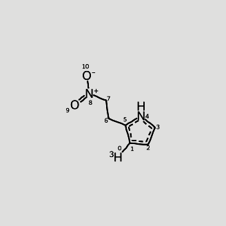 [3H]c1cc[nH]c1CC[N+](=O)[O-]